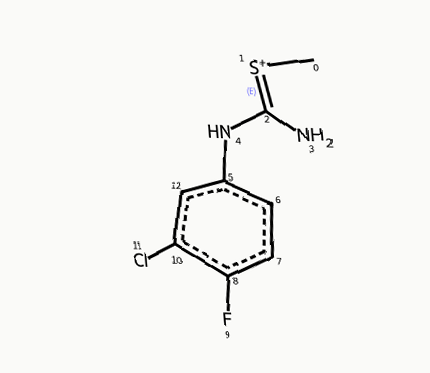 C/[S+]=C(\N)Nc1ccc(F)c(Cl)c1